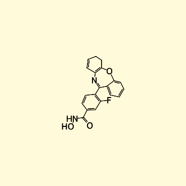 O=C(NO)c1ccc(C2=NC3=C(CCC=C3)Oc3ccccc32)c(F)c1